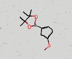 COC1CC=C(B2OC(C)(C)C(C)(C)O2)C1